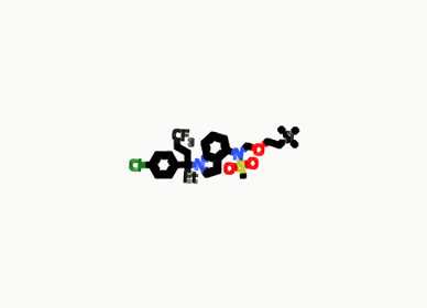 CCC(CCC(F)(F)F)(c1ccc(Cl)cc1)n1ccc2c(N(COCC[Si](C)(C)C)S(C)(=O)=O)cccc21